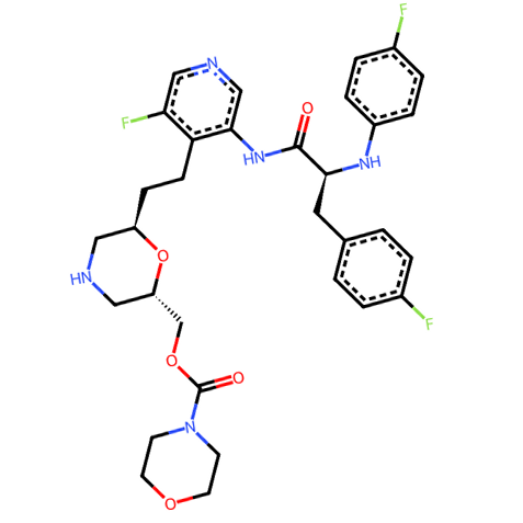 O=C(Nc1cncc(F)c1CC[C@@H]1CNC[C@@H](COC(=O)N2CCOCC2)O1)[C@H](Cc1ccc(F)cc1)Nc1ccc(F)cc1